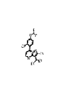 CCc1nn2c(-c3ccc(OC(F)F)cc3Cl)ccnc2c1C(CC)CC